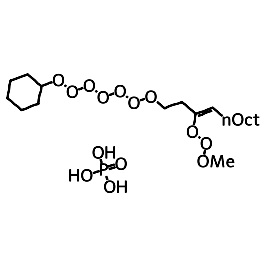 CCCCCCCCC=C(CCOOOOOOOC1CCCCC1)OOOC.O=P(O)(O)O